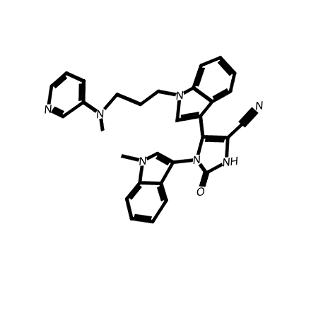 CN(CCCn1cc(-c2c(C#N)[nH]c(=O)n2-c2cn(C)c3ccccc23)c2ccccc21)c1cccnc1